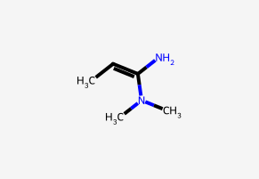 C/C=C(/N)N(C)C